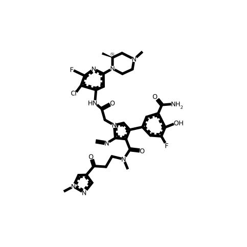 C=Nc1c(C(=O)N(C)CCC(=O)c2cnn(C)c2)c(-c2cc(F)c(O)c(C(N)=O)c2)cn1CC(=O)Nc1cc(N2CCN(C)C[C@@H]2C)nc(F)c1Cl